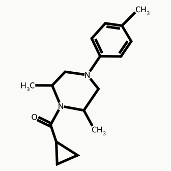 Cc1ccc(N2CC(C)N(C(=O)C3CC3)C(C)C2)cc1